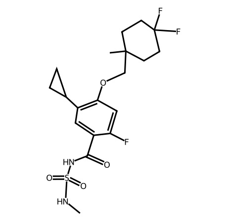 CNS(=O)(=O)NC(=O)c1cc(C2CC2)c(OCC2(C)CCC(F)(F)CC2)cc1F